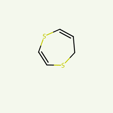 C1=CSC=CSC1